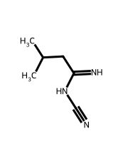 CC(C)CC(=N)NC#N